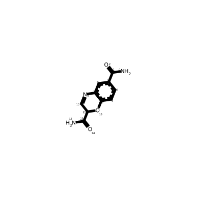 NC(=O)c1ccc2c(c1)N=CC(C(N)=O)O2